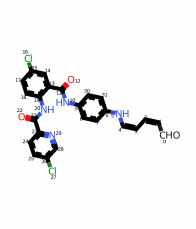 O=C/C=C\C=C/Nc1ccc(NC(=O)c2cc(Cl)ccc2NC(=O)c2ccc(Cl)cn2)cc1